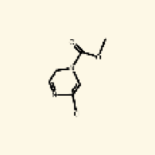 COC(=O)N1C=C(Cl)N=CC1